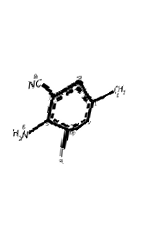 Cc1cc(I)c(N)c(C#N)c1